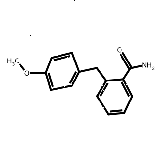 COc1ccc(Cc2ccccc2C(N)=O)cc1